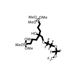 CO[Si](CCCC(O)(CCC[Si](OC)(OC)OC)COC(F)(F)C(F)(F)OC(F)(F)OC(F)(F)F)(OC)OC